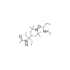 CCC(N)ON1C(C)(C)CC(C(CC)(CC)NC(C)=O)CC1(C)C